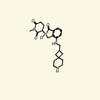 CN1C(=O)CCC([N+]2([O-])Cc3c(NCC4CC5(CCNCC5)C4)cccc3C2=O)C1=O